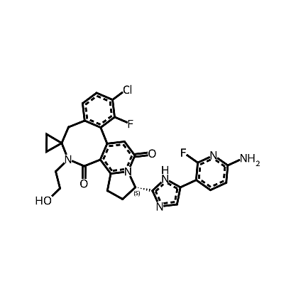 Nc1ccc(-c2cnc([C@@H]3CCc4c5c(cc(=O)n43)-c3c(ccc(Cl)c3F)CC3(CC3)N(CCO)C5=O)[nH]2)c(F)n1